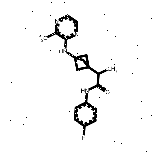 CC(C(=O)Nc1ccc(F)cc1)C12CC(Nc3nccnc3C(F)(F)F)(C1)C2